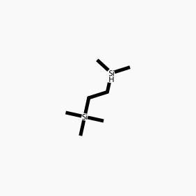 C[SiH](C)CC[Si](C)(C)C